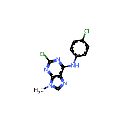 Cn1cnc2c(Nc3ccc(Cl)cc3)nc(Cl)nc21